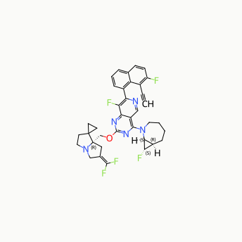 C#Cc1c(F)ccc2cccc(-c3ncc4c(N5CCCC[C@H]6[C@H](F)[C@H]65)nc(OC[C@]56CC(=C(F)F)CN5CCC65CC5)nc4c3F)c12